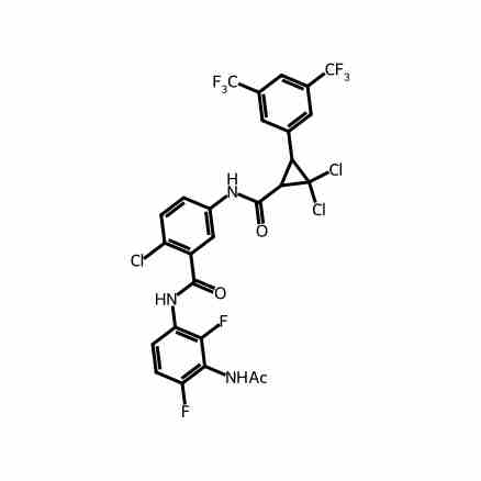 CC(=O)Nc1c(F)ccc(NC(=O)c2cc(NC(=O)C3C(c4cc(C(F)(F)F)cc(C(F)(F)F)c4)C3(Cl)Cl)ccc2Cl)c1F